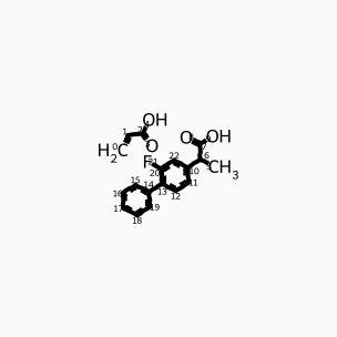 C=CC(=O)O.CC(C(=O)O)c1ccc(-c2ccccc2)c(F)c1